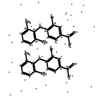 Cc1cccc(C)c1Oc1ccc([N+](=O)[O-])cc1Br.Cc1cccc(C)c1Oc1ccc([N+](=O)[O-])cc1Br